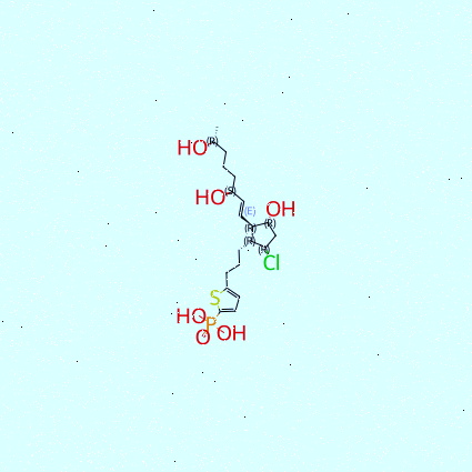 C[C@@H](O)CCC[C@H](O)/C=C/[C@@H]1[C@@H](CCCc2ccc(P(=O)(O)O)s2)[C@H](Cl)C[C@H]1O